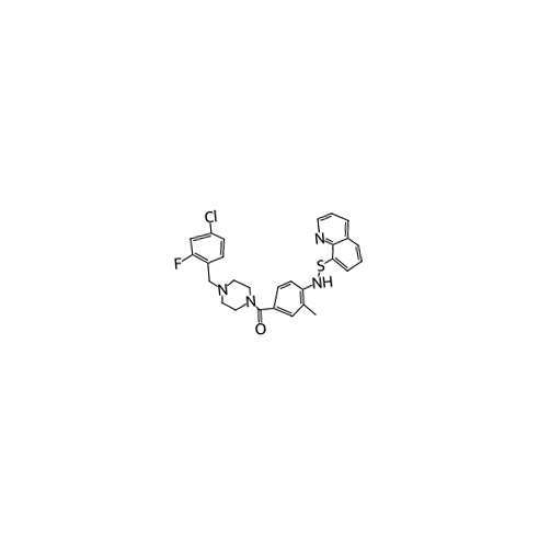 Cc1cc(C(=O)N2CCN(Cc3ccc(Cl)cc3F)CC2)ccc1NSc1cccc2cccnc12